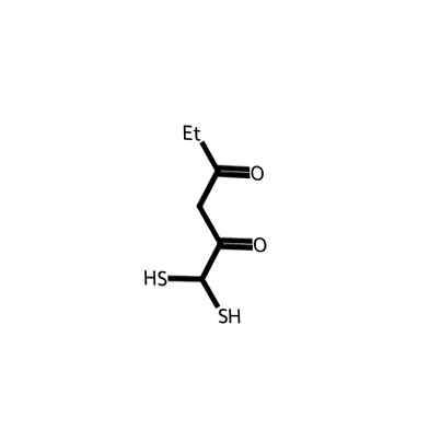 CCC(=O)CC(=O)C(S)S